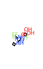 OC[C@H]1O[C@@H](n2cnc3c(NC4CCC4)nc(C(F)(F)F)nc32)C(F)C1O